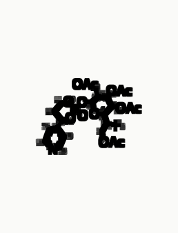 CC(=O)OC[C@H](F)[C@H]1O[C@@H](OP2(=O)OCC[C@@H](c3ccncc3)O2)[C@@H](OC(C)=O)[C@@H](OC(C)=O)[C@@H]1OC(C)=O